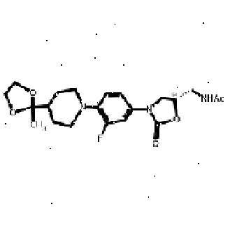 CC(=O)NC[C@H]1CN(c2ccc(N3CCC(C4(C)OCCO4)CC3)c(F)c2)C(=O)O1